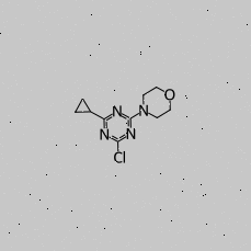 Clc1nc(C2CC2)nc(N2CCOCC2)n1